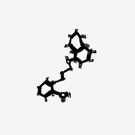 Oc1ccccc1CCCOc1ncnc2ccccc12